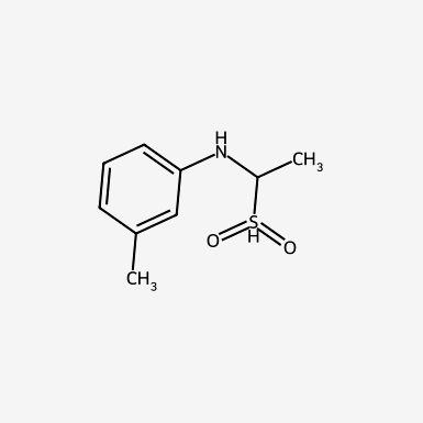 Cc1cccc(NC(C)[SH](=O)=O)c1